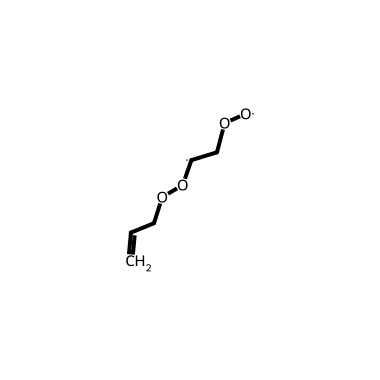 C=CCOO[CH]CO[O]